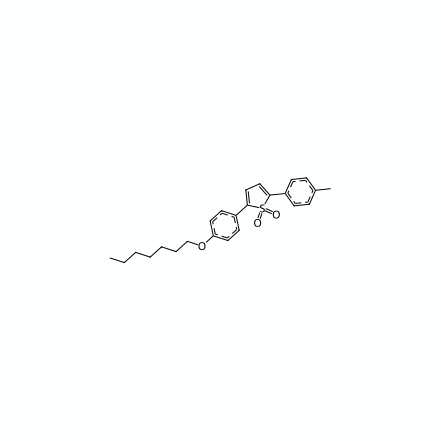 CCCCCCCOc1ccc(C2=CC=C(c3ccc(C)cc3)S2(=O)=O)cc1